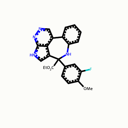 CCOC(=O)C1(c2ccc(OC)c(F)c2)Nc2ccccc2-c2cnnc3[nH]cc1c23